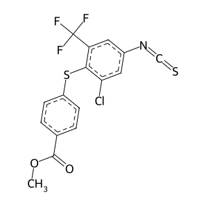 COC(=O)c1ccc(Sc2c(Cl)cc(N=C=S)cc2C(F)(F)F)cc1